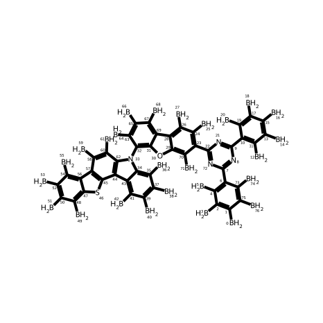 Bc1c(B)c(B)c(-c2nc(-c3c(B)c(B)c(B)c(B)c3B)nc(-c3c(B)c(B)c4c(oc5c(-n6c7c(B)c(B)c(B)c(B)c7c7c8sc9c(B)c(B)c(B)c(B)c9c8c(B)c(B)c76)c(B)c(B)c(B)c54)c3B)n2)c(B)c1B